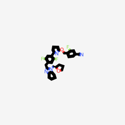 N#Cc1ccc(COc2cccc(-c3cc(F)c(Cc4nc5ccccc5n4C[C@@H]4CCCO4)cc3F)n2)c(F)c1